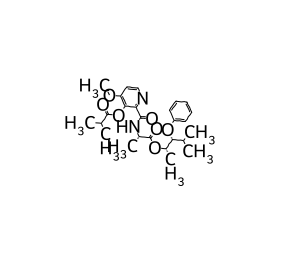 COc1ccnc(C(=O)N[C@@H](C)C(=O)O[C@@H](C)[C@H](Oc2ccccc2)C(C)C)c1OC(=O)C(C)C